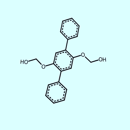 OCOc1cc(-c2ccccc2)c(OCO)cc1-c1ccccc1